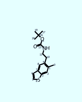 Cc1cc2sccc2cc1CCNC(=O)OC(C)(C)C